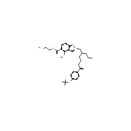 CCCC(CCCC(=O)c1ccc(SC(F)(F)F)cc1)Cn1cc2c(OC)c(C(=O)NCCOC)ccc2n1